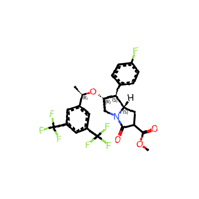 COC(=O)C1C[C@H]2[C@H](c3ccc(F)cc3)[C@@H](O[C@H](C)c3cc(C(F)(F)F)cc(C(F)(F)F)c3)CN2C1=O